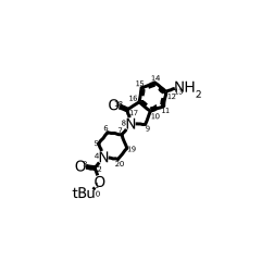 CC(C)(C)OC(=O)N1CCC(N2Cc3cc(N)ccc3C2=O)CC1